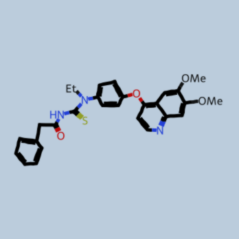 CCN(C(=S)NC(=O)Cc1ccccc1)c1ccc(Oc2ccnc3cc(OC)c(OC)cc23)cc1